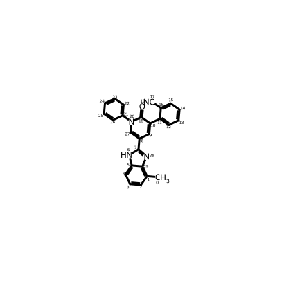 Cc1cccc2[nH]c(-c3cc(-c4ccccc4C#N)c(=O)n(-c4ccccc4)c3)nc12